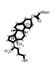 CCCCCCCCCC(=O)O[C@H]1CC[C@@]2(C)C(=CC[C@H]3[C@@H]4CC[C@H](C(C)CCCC(C)C)[C@@]4(C)CC[C@@H]32)C1